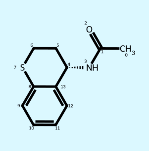 CC(=O)N[C@H]1CCSc2ccccc21